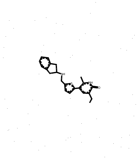 CCc1cc(-c2ccc(CNC3Cc4ccccc4C3)s2)c(C)[nH]c1=O